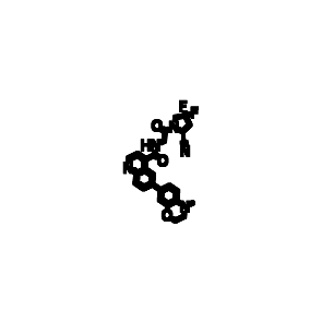 CN1CCOc2cc(-c3ccc4nccc(C(=O)NCC(=O)N5CC(F)(F)C[C@H]5C#N)c4c3)ccc21